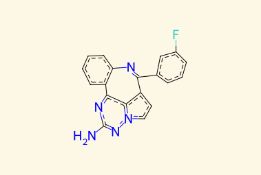 Nc1nc2c3c(ccn3n1)C(c1cccc(F)c1)=Nc1ccccc1-2